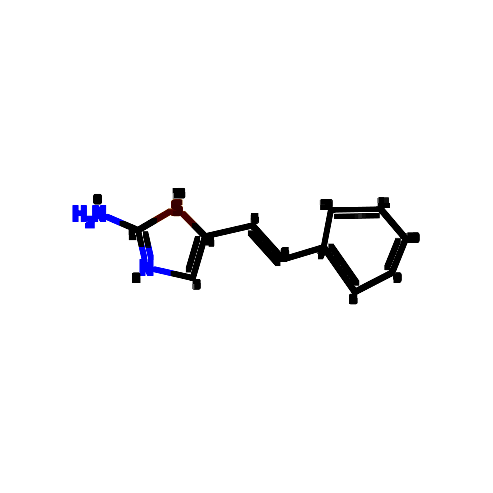 Nc1ncc(C=Cc2ccccc2)s1